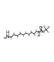 CNCCCCCCCCCCNC(=O)OC(C)(C)C